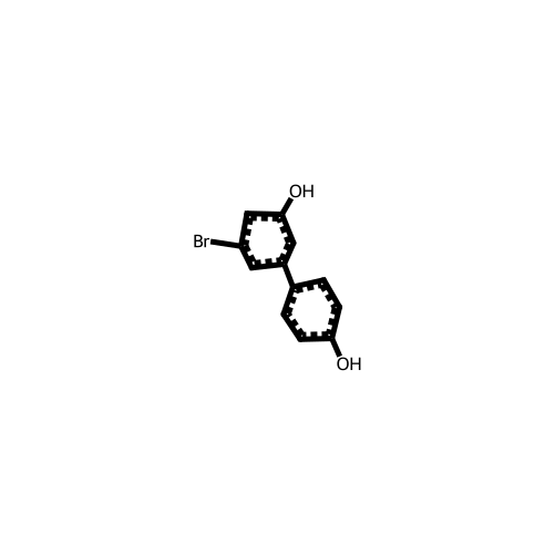 Oc1ccc(-c2cc(O)cc(Br)c2)cc1